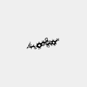 CN(C)CCSc1ccc(C=c2[nH]c(=O)c(=Cc3ccc(C#N)cc3)[nH]c2=O)cc1